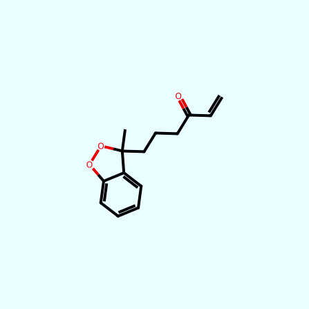 C=CC(=O)CCCC1(C)OOc2ccccc21